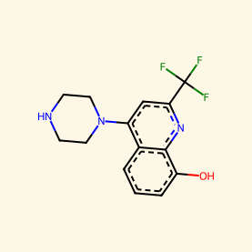 Oc1cccc2c(N3CCNCC3)cc(C(F)(F)F)nc12